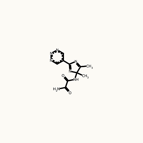 CC1=NC(c2cnnnc2)=NC1(C)NC(=O)C(N)=O